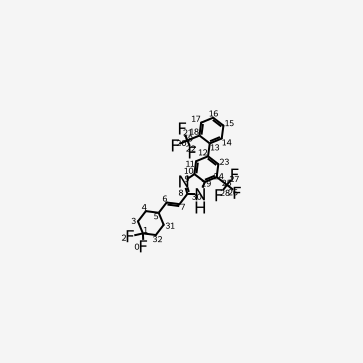 FC1(F)CCC(C=Cc2nc3cc(-c4ccccc4C(F)(F)F)cc(C(F)(F)F)c3[nH]2)CC1